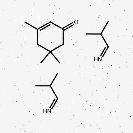 CC(C)C=N.CC(C)C=N.CC1=CC(=O)CC(C)(C)C1